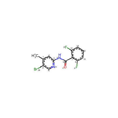 Cc1cc(NC(=O)c2c(F)cccc2F)ncc1Br